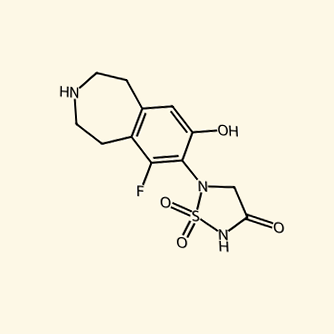 O=C1CN(c2c(O)cc3c(c2F)CCNCC3)S(=O)(=O)N1